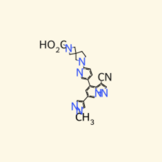 Cn1cc(-c2cc(-c3ccc(N4CCC5(CN(C(=O)O)C5)C4)nc3)c3c(C#N)cnn3c2)cn1